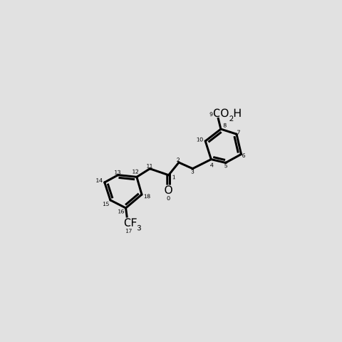 O=C(CCc1cccc(C(=O)O)c1)Cc1cccc(C(F)(F)F)c1